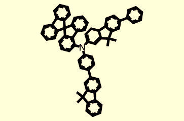 CC1(C)C2=CC(N(c3ccc(-c4ccc5c(c4)C(C)(C)c4ccccc4-5)cc3)c3cccc4c3-c3ccccc3C43c4ccccc4-c4ccccc43)=CCC2c2ccc(-c3ccccc3)cc21